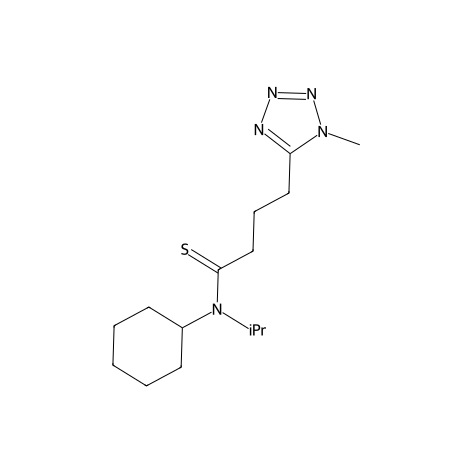 CC(C)N(C(=S)CCCc1nnnn1C)C1CCCCC1